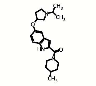 CC1CCN(C(=O)c2cc3cc(OC4CCN(C(C)C)C4)ccc3[nH]2)CC1